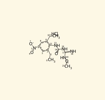 CCc1cc([N+](=O)[O-])cc(CC)c1NC(=O)NC(=N)NOC.Cl